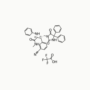 CNC(=O)[C@H](Nc1ccccc1)[C@H](CN1C(=O)NC(c2ccccc2)(c2ccccc2)C1=O)c1cccc(C#N)c1.O=C(O)C(F)(F)F